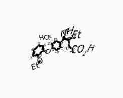 CCOc1ccccc1Oc1ccc(C(=N)[C@@H](CC)CC(=O)O)cc1.Cl